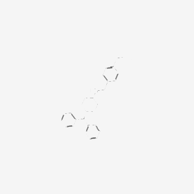 COc1ccc(CN[C@@H]2CC[C@H](C(c3ccccc3)c3ccccc3)OC2)cc1